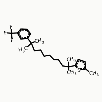 Cc1ccc(C(C)(C)CCCCCCCC(C)(C)c2cccc(C(F)(F)F)c2)s1